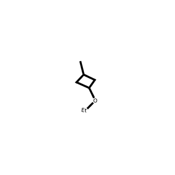 CCOC1CC(C)C1